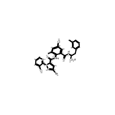 Cc1cccc(CC(NC(=O)c2cc(Cl)cc(C)c2NC(=O)c2cc(Br)nn2-c2ncccc2Cl)C(=O)O)c1